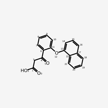 O=C(O)CC(=O)c1ccccc1Oc1cccc2ccccc12